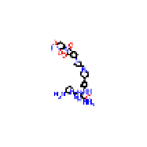 NC(=O)c1nnc(N2CCCC(N)C2)nc1Nc1ccc(C2CCN(CC3CCN(c4ccc5c(c4)C(=O)N(C4CCC(=O)NC4=O)C5=O)C3)CC2)cc1